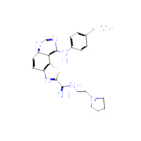 COc1ccc(Nc2ncnc3ccc4nc(C(=N)NCCN5CCCC5)sc4c23)cc1